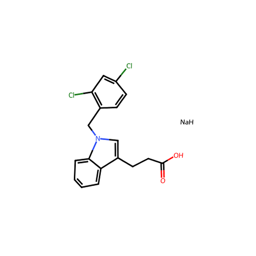 O=C(O)CCc1cn(Cc2ccc(Cl)cc2Cl)c2ccccc12.[NaH]